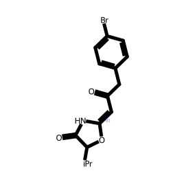 CC(C)C1O/C(=C/C(=O)Cc2ccc(Br)cc2)NC1=O